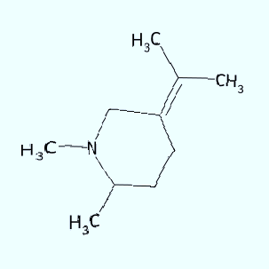 CC(C)=C1CCC(C)N(C)C1